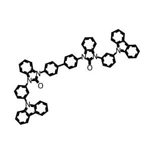 O=c1n(-c2ccc(-c3ccc(-n4c(=O)n(-c5cccc(-n6c7ccccc7c7ccccc76)c5)c5ccccc54)cc3)cc2)c2ccccc2n1-c1cccc(-n2c3ccccc3c3ccccc32)c1